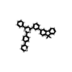 CC1(C)c2ccccc2-c2cc(-c3cccc(-c4cc(-c5ccccc5)nc(-c5ccc(-c6cccnc6)cc5)n4)c3)ccc21